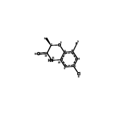 C[C@H]1Oc2c(F)cc(Cl)cc2NC1=O